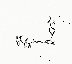 Cc1cc(-c2ccc([C@]34C[C@H]3CN(CCCSc3nnc(-c5ocnc5C)n3C)C4)cc2)no1